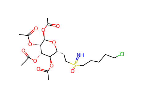 CC(=O)O[C@H]1O[C@H](CCS(=N)(=O)CCCCCCl)[C@@H](OC(C)=O)[C@H](OC(C)=O)[C@@H]1OC(C)=O